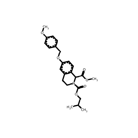 COC(=O)C1c2ccc(OCc3ccc(OC)cc3)cc2CCN1C(=O)OCC(C)C